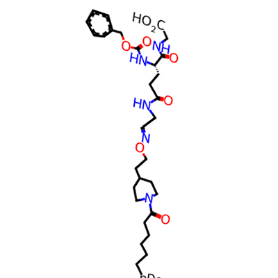 CCCCCCCCCCCCCCCC(=O)N1CCC(CCO/N=C/CNC(=O)CC[C@H](NC(=O)OCc2ccccc2)C(=O)NCC(=O)O)CC1